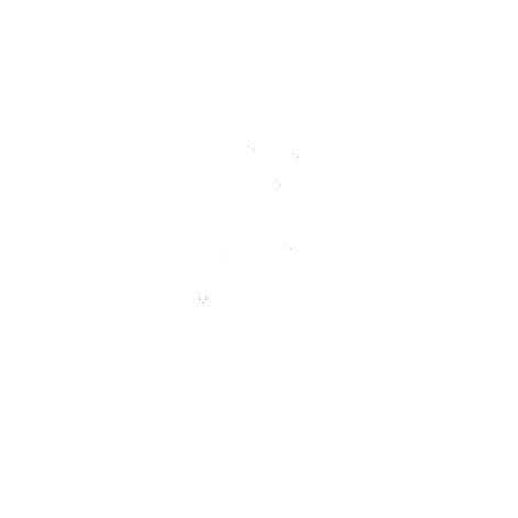 COCc1c(C2CCCCC2)sc2[nH]c(-c3cc(C)c4ncnn4c3)c(C(C)C)c12